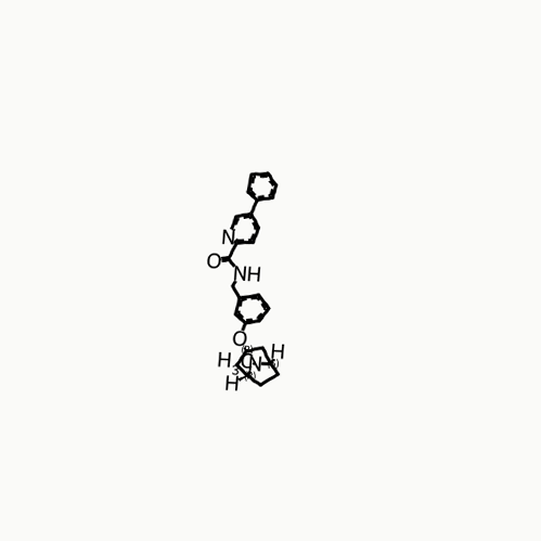 CN1[C@@H]2CC[C@H]1C[C@@H](Oc1cccc(CNC(=O)c3ccc(-c4ccccc4)cn3)c1)C2